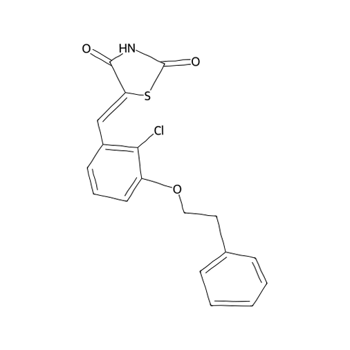 O=C1NC(=O)C(=Cc2cccc(OCCc3ccccc3)c2Cl)S1